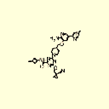 CC1C=C(NC(=O)c2nc(OCC3(C#N)CC3)nc(N3CCC(COc4cc(-c5cn(C)cn5)cnc4N)CC3)n2)C1